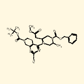 COC(=O)CC1CN(C(=O)OCc2ccccc2)C(C)CN1c1nc(Cl)nc2c1CCN(C(=O)OC(C)(C)C)C2